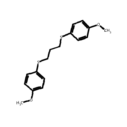 COc1ccc(SCCCSc2ccc(OC)cc2)cc1